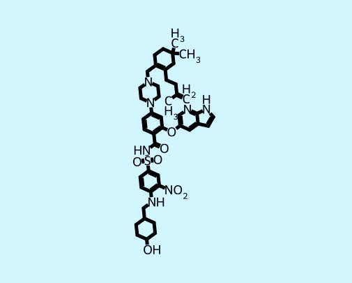 C=C(C)CCC1=C(CN2CCN(c3ccc(C(=O)NS(=O)(=O)c4ccc(NCC5CCC(O)CC5)c([N+](=O)[O-])c4)c(Oc4cnc5[nH]ccc5c4)c3)CC2)CCC(C)(C)C1